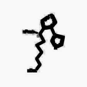 CCCCCCCCCCCCCCC[C@H](CCCCC)c1ccccc1-n1ccnc1